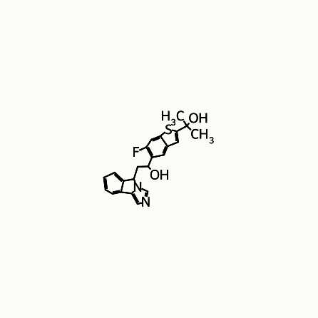 CC(C)(O)c1cc2cc(C(O)CC3c4ccccc4-c4cncn43)c(F)cc2s1